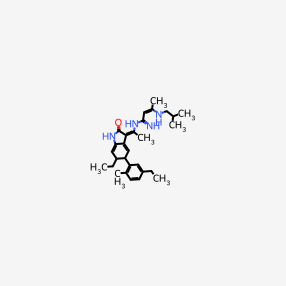 CCc1ccc(C)c(C2C=C3C(=CC2CC)NC(=O)/C3=C(/C)NC(=N)/C=C(/C)NCC(C)C)c1